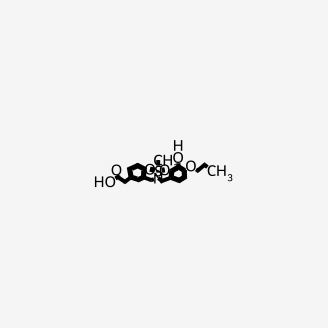 CCCOc1ccc(CN(Cc2cccc(CC(=O)O)c2)S(C)(=O)=O)cc1O